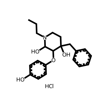 CCCN1CCC(O)(Cc2ccccc2)C(Oc2ccc(O)cc2)C1O.Cl